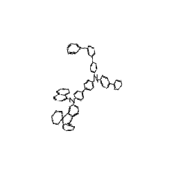 c1ccc(-c2ccc(N(c3ccc(-c4ccc(N(c5ccc6c(c5)C5(CCCCC5)c5ccccc5-6)c5cccc6ccccc56)cc4)cc3)c3ccc(-c4cccc(-c5ccccc5)c4)cc3)cc2)cc1